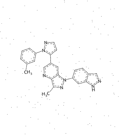 Cc1cccc(-n2nccc2-c2cnc3c(C)nn(-c4ccc5cn[nH]c5c4)c3c2)c1